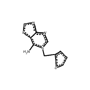 Nc1c2ncnc-2ncn1Cc1ccco1